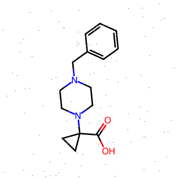 O=C(O)C1(N2CCN(Cc3ccccc3)CC2)CC1